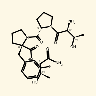 C[C@@H](O)[C@H](N)C(=O)N1CCC[C@H]1C(=O)N1CCC[C@@]1(Cc1cccc(F)c1)C(=O)N[C@H](C(N)=O)[C@@H](C)O